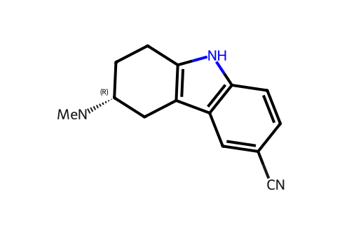 CN[C@@H]1CCc2[nH]c3ccc(C#N)cc3c2C1